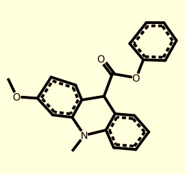 COc1ccc2c(c1)N(C)c1ccccc1C2C(=O)Oc1ccccc1